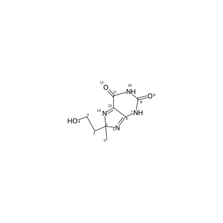 CC1(CCO)N=c2[nH]c(=O)[nH]c(=O)c2=N1